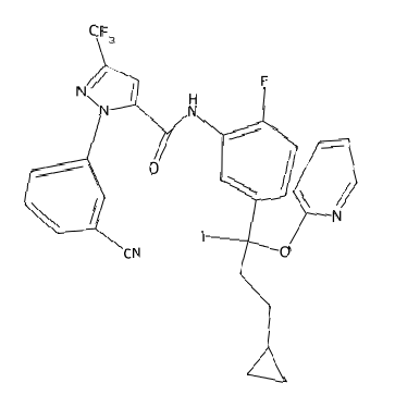 N#Cc1cccc(-n2nc(C(F)(F)F)cc2C(=O)Nc2cc(C(I)(CCC3CC3)Oc3ccccn3)ccc2F)c1